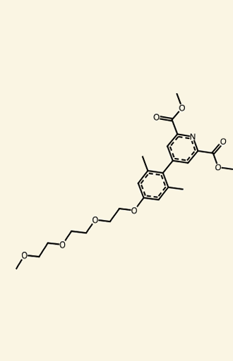 COCCOCCOCCOc1cc(C)c(-c2cc(C(=O)OC)nc(C(=O)OC)c2)c(C)c1